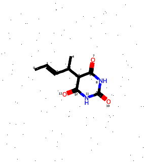 CC=CC(C)C1C(=O)NC(=O)NC1=O